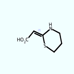 O=C(O)/C=C1/NCCCS1